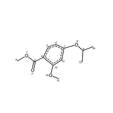 COC(=O)c1ccc(OC(C)C)cc1OC